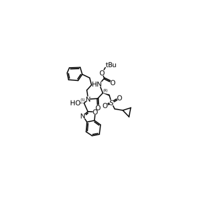 CC(C)(C)OC(=O)N[C@@H](CS(=O)(=O)CC1CC1)C(=O)N(CCCc1ccccc1)[C@@H](O)c1nc2ccccc2o1